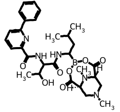 CC(C)CC(NC(=O)C(NC(=O)c1cccc(-c2ccccc2)n1)C(C)O)B1OC(=O)[C@@H]2CN(C)C[C@@H](C(=O)O1)N2C